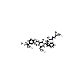 CCC(=O)N[C@@H](Cc1nc2ccc(C(C)C)cc2s1)C(=O)N[C@H](CNC(=O)/C=C/CNC)Cc1ccccc1